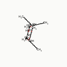 CCCCCCCCCCCCC(O)CN(CCN(C)CCC(=O)NCCCCNCCC(=O)N(C)CCN(CC(O)CCCCCCCCCCCC)CC(O)CCCCCCCCCCCC)CC(O)CCCCCCCCCCCC